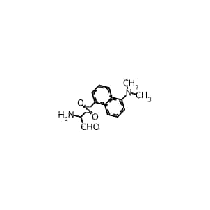 CN(C)c1cccc2c(S(=O)(=O)C(N)C=O)cccc12